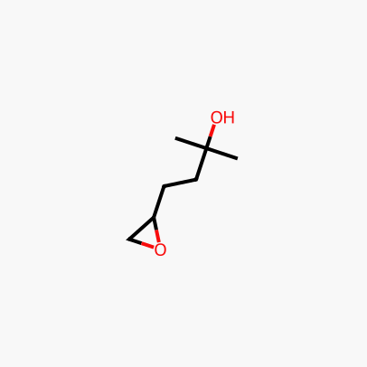 CC(C)(O)CCC1CO1